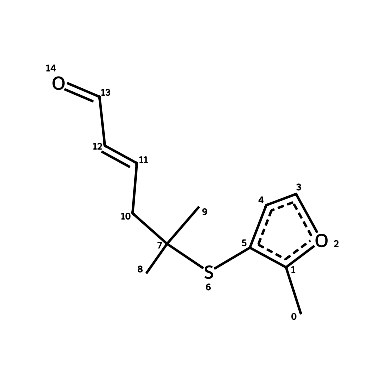 Cc1occc1SC(C)(C)C/C=C/C=O